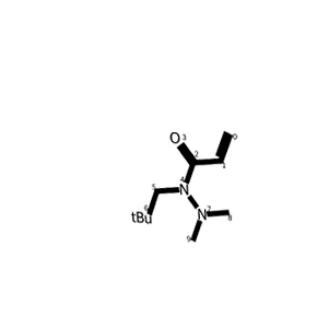 C=CC(=O)N(CC(C)(C)C)N(C)C